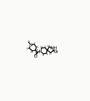 CN1CCC(C(=O)N2CCC3(CC2)CNC(=O)C3)CC1